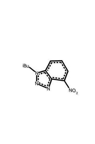 CCC(C)n1nnc2c([N+](=O)[O-])cccc21